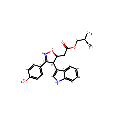 CC(C)COC(=O)CC1ON=C(c2ccc(O)cc2)C1c1c[nH]c2ccccc12